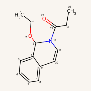 CCOC1c2ccccc2C=CN1C(=O)CC